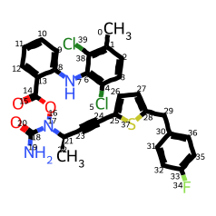 Cc1ccc(Cl)c(Nc2ccccc2C(=O)ON(C(N)=O)[C@H](C)C#Cc2ccc(Cc3ccc(F)cc3)s2)c1Cl